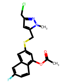 CC(=O)Oc1cc(SCc2cc(CCl)nn2C)cc2cc(F)ccc12